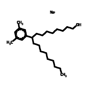 CCCCCCCCCC(CCCCCCCCO)c1cc(C)cc(C)c1.[Na]